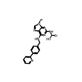 CCC(O)Nc1nc(NCc2ccc(-c3ccccn3)cc2)c2ncn(C(C)C)c2n1